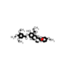 COC(=O)[C@@H]1[C@@H](O)[C@H](OC(=O)c2cc(OC)c(OC)c(OC)c2)C[C@@H]2CN3CC[C@@]45OCCO[C@@]4(Nc4cc(OC)ccc45)[C@H]3C[C@@H]21